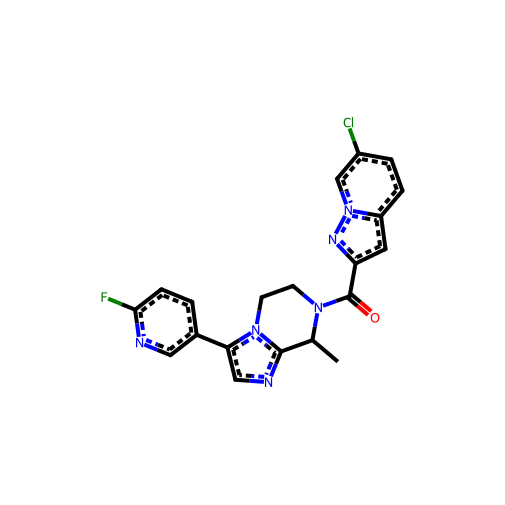 CC1c2ncc(-c3ccc(F)nc3)n2CCN1C(=O)c1cc2ccc(Cl)cn2n1